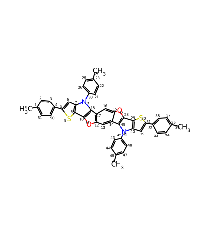 Cc1ccc(-c2cc3c(s2)c2oc4cc5c(cc4c2n3-c2ccc(C)cc2)oc2c3sc(-c4ccc(C)cc4)cc3n(-c3ccc(C)cc3)c52)cc1